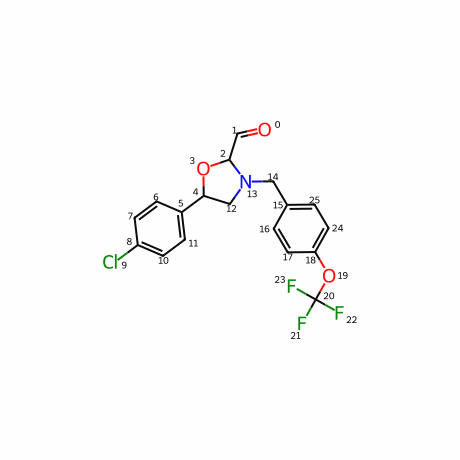 O=CC1OC(c2ccc(Cl)cc2)CN1Cc1ccc(OC(F)(F)F)cc1